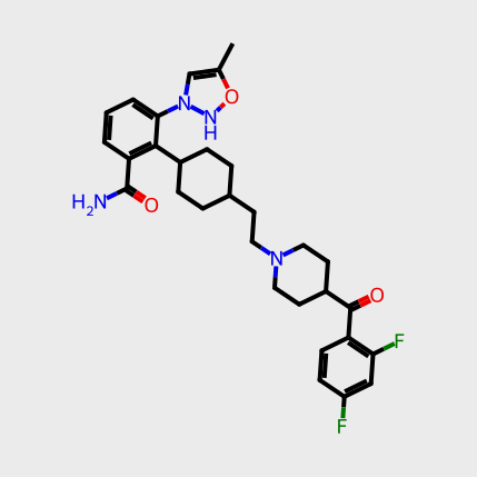 CC1=CN(c2cccc(C(N)=O)c2C2CCC(CCN3CCC(C(=O)c4ccc(F)cc4F)CC3)CC2)NO1